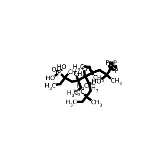 CCC(C)(C)CC(C)(C)C(C)(C(C)(CC)CC(C)(O)C12P=P1=P2)C(C)(CC)CC(C)(CC)P(=O)(O)O